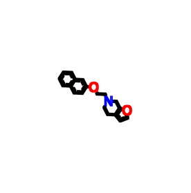 c1ccc2cc(OCCN3CCc4ccoc4C3)ccc2c1